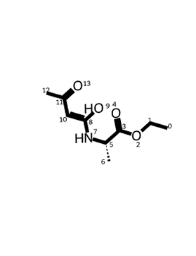 CCOC(=O)[C@H](C)N/C(O)=C/C(C)=O